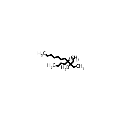 BC(CC)(CC)C(C)(CCCC)CCCCCCC